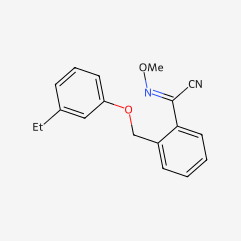 CCc1cccc(OCc2ccccc2C(C#N)=NOC)c1